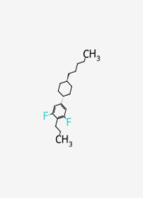 CCCCC[C@H]1CC[C@H](c2cc(F)c(CCC)c(F)c2)CC1